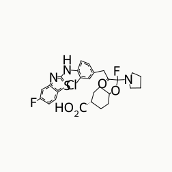 O=C(Cc1ccc(Nc2nc3cc(F)ccc3s2)c(Cl)c1)C(F)(O[C@H]1CC[C@H](C(=O)O)CC1)N1CCCC1